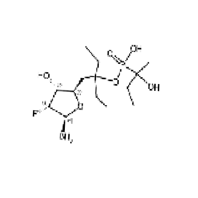 B[C@@H]1O[C@H](CC(CC)(CC)OP(=O)(O)C(C)(O)CC)[C@@H](O)[C@H]1F